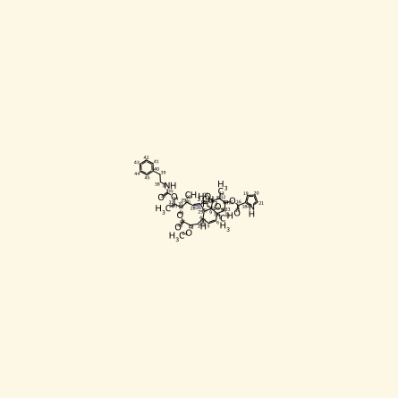 CO[C@H]1C[C@H]2C=C[C@]3(C)[C@H]4[C@H](O)[C@@H](C)[C@@H](OC(=O)c5ccc[nH]5)[C@@H]3O[C@@]24/C(C)=C/[C@@H](C)[C@@H]([C@@H](C)OC(=O)NCCc2ccccc2)OC1=O